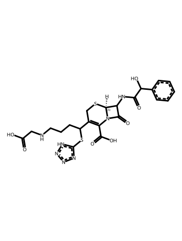 O=C(O)CNCCCC(Sc1nnn[nH]1)C1=C(C(=O)O)N2C(=O)C(NC(=O)C(O)c3ccccc3)[C@@H]2SC1